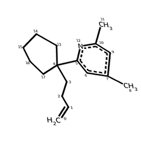 C=CCCC1(c2cc(C)cc(C)n2)CCCCC1